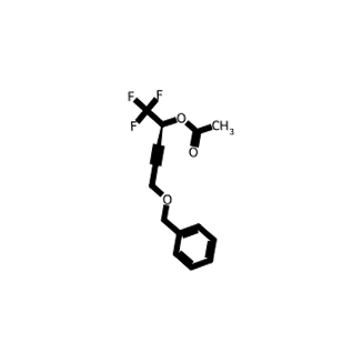 CC(=O)O[C@@H](C#CCOCc1ccccc1)C(F)(F)F